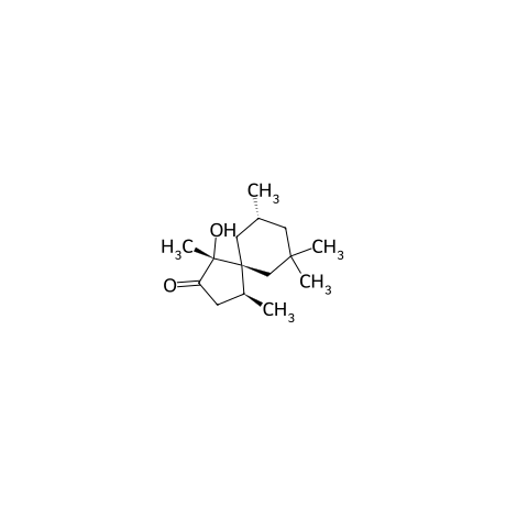 C[C@@H]1CC(C)(C)C[C@@]2(C1)[C@@H](C)CC(=O)[C@]2(C)O